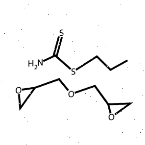 C(OCC1CO1)C1CO1.CCCSC(N)=S